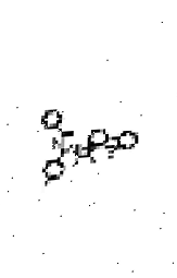 C=C(/N=C(\N/C(C)=C(/C)c1cccc2c1sc1ccccc12)c1ccc(I)cc1)c1ccccc1